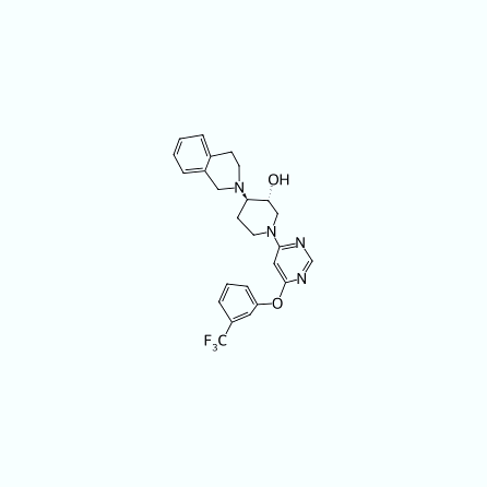 O[C@@H]1CN(c2cc(Oc3cccc(C(F)(F)F)c3)ncn2)CC[C@H]1N1CCc2ccccc2C1